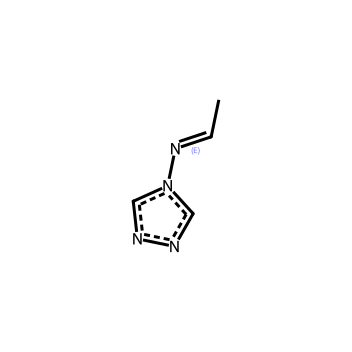 C/C=N/n1cnnc1